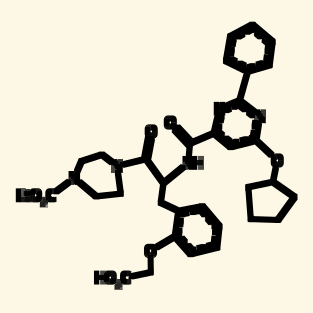 CCOC(=O)N1CCN(C(=O)C(Cc2ccccc2OCC(=O)O)NC(=O)c2cc(OC3CCCC3)nc(-c3ccccc3)n2)CC1